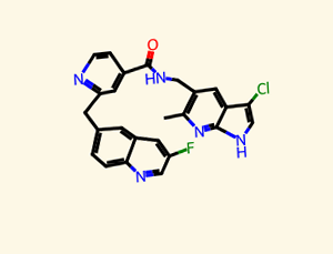 Cc1nc2[nH]cc(Cl)c2cc1CNC(=O)c1ccnc(Cc2ccc3ncc(F)cc3c2)c1